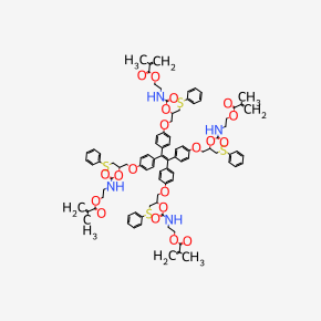 C=C(C)C(=O)OCCNC(=O)OC(COc1ccc(C(=C(c2ccc(OCC(CSc3ccccc3)OC(=O)NCCOC(=O)C(=C)C)cc2)c2ccc(OCC(CSc3ccccc3)OC(=O)NCCOC(=O)C(=C)C)cc2)c2ccc(OCC(CSc3ccccc3)OC(=O)NCCOC(=O)C(=C)C)cc2)cc1)CSc1ccccc1